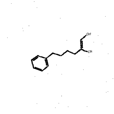 N#CC(=CO)CCCCc1ccccc1